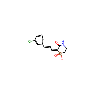 O=C1NCCS(=O)(=O)/C1=C/C=C/c1cccc(Cl)c1